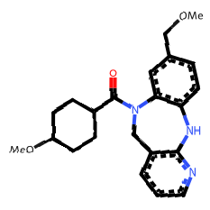 COCc1ccc2c(c1)N(C(=O)C1CCC(OC)CC1)Cc1cccnc1N2